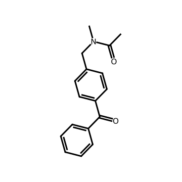 CC(=O)N(C)Cc1ccc(C(=O)c2ccccc2)cc1